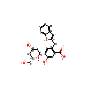 O=C(O)c1cc(O)c([C@H]2C[C@@H](O)C[C@@H](CO)O2)cc1Cc1cc2ccccc2s1